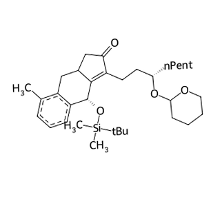 CCCCC[C@@H](CCC1=C2C(CC1=O)Cc1c(C)cccc1[C@H]2O[Si](C)(C)C(C)(C)C)OC1CCCCO1